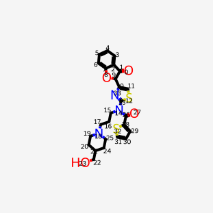 O=C1c2ccccc2OC1c1csc(N(CCCN2CCC(CO)CC2)C(=O)c2cccs2)n1